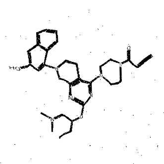 C=CC(=O)N1CCN(c2nc(OC(CC)CN(C)C)nc3c2CCN(c2cc(O)cc4ccccc24)C3)CC1